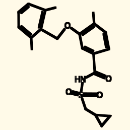 Cc1ccc(C(=O)NS(=O)(=O)CC2CC2)cc1OCc1c(C)cccc1C